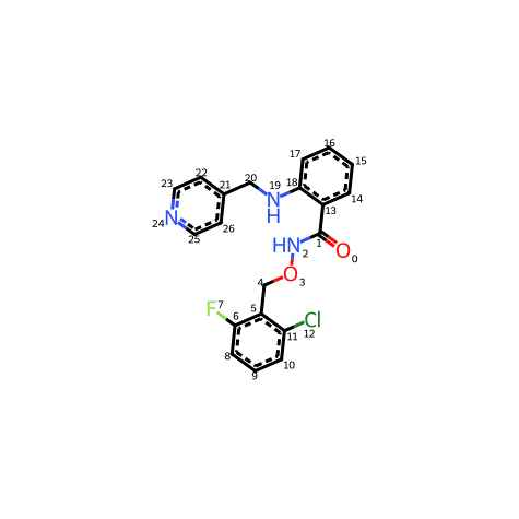 O=C(NOCc1c(F)cccc1Cl)c1ccccc1NCc1ccncc1